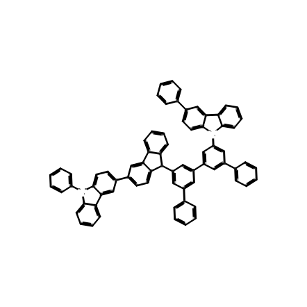 c1ccc(-c2cc(-c3cc(-c4ccccc4)cc(-n4c5ccccc5c5cc(-c6ccccc6)ccc54)c3)cc(C3c4ccccc4-c4cc(-c5ccc6c(c5)c5ccccc5n6-c5ccccc5)ccc43)c2)cc1